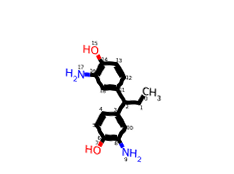 CCC(c1ccc(O)c(N)c1)c1ccc(O)c(N)c1